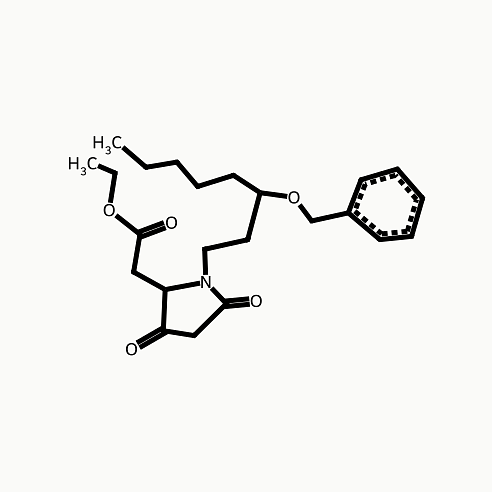 CCCCCC(CCN1C(=O)CC(=O)C1CC(=O)OCC)OCc1ccccc1